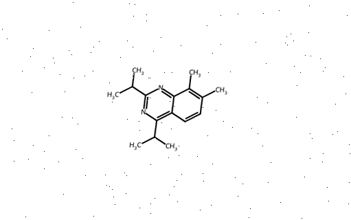 Cc1ccc2c(C(C)C)nc(C(C)C)nc2c1C